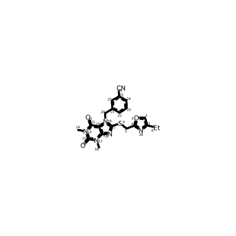 CCc1coc(CSc2nc3c(c(=O)n(C)c(=O)n3C)n2Cc2cccc(C#N)c2)n1